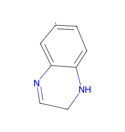 [c]1ccc2c(c1)N=CCN2